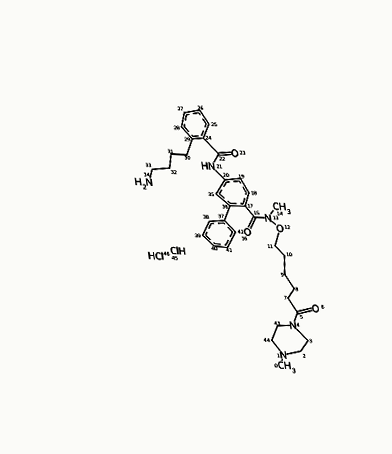 CN1CCN(C(=O)CCCCCON(C)C(=O)c2ccc(NC(=O)c3ccccc3CCCCN)cc2-c2ccccc2)CC1.Cl.Cl